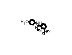 CC1CCC(Nc2ncnc3c([N+](=O)[O-])cccc23)CC1